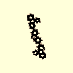 CCC1(CC)c2ccccc2-c2ncc(-c3ccc(-c4ccc(-c5cnc6c(c5)C(CC)(CC)C5C=CC=CC65)cc4C)c(C)c3)cc21